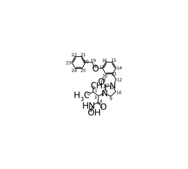 CC(C)C(C(=O)NO)N1CCN(Cc2cccc(OCc3ccccc3)c2)C1=O